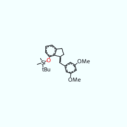 COc1cc(C=C2CCc3cccc(O[Si](C)(C)C(C)(C)C)c32)cc(OC)c1